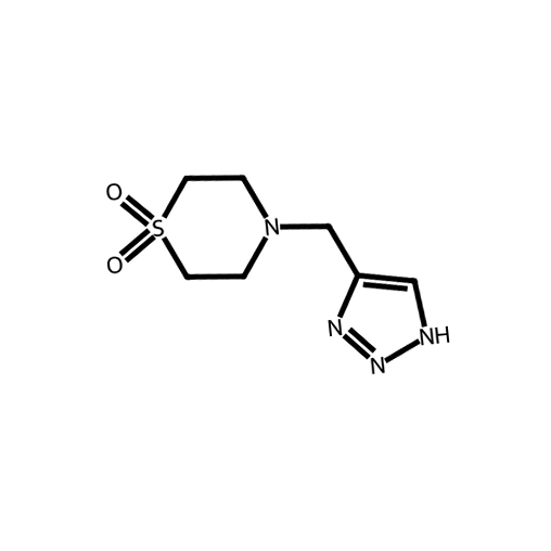 O=S1(=O)CCN(Cc2c[nH]nn2)CC1